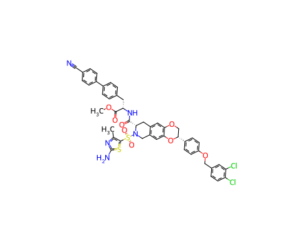 COC(=O)[C@H](Cc1ccc(-c2ccc(C#N)cc2)cc1)NC(=O)[C@@H]1Cc2cc3c(cc2CN1S(=O)(=O)c1sc(N)nc1C)O[C@@H](c1ccc(OCc2ccc(Cl)c(Cl)c2)cc1)CO3